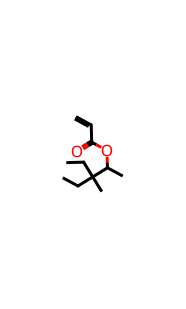 C=CC(=O)OC(C)C(C)(CC)CC